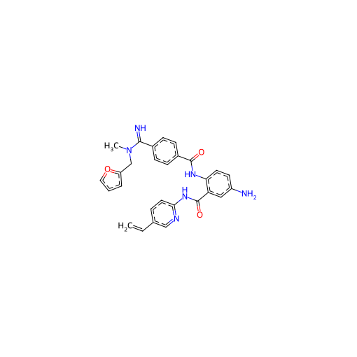 C=Cc1ccc(NC(=O)c2cc(N)ccc2NC(=O)c2ccc(C(=N)N(C)Cc3ccco3)cc2)nc1